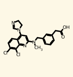 CN(Cc1cccc(CC(=O)O)c1)c1cc(N2C=NCC2)c2ccc(Cl)c(Cl)c2n1